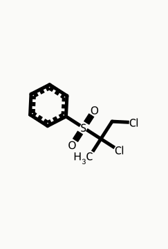 CC(Cl)(CCl)S(=O)(=O)c1ccccc1